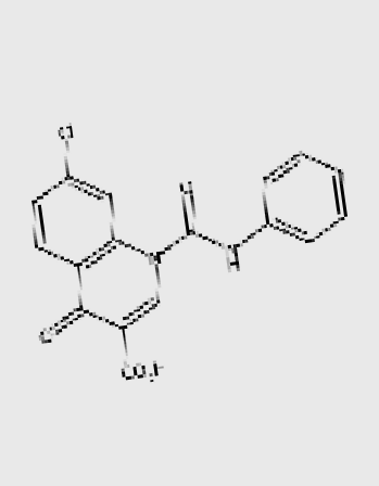 O=C(O)c1cn(C(=O)Nc2ccccc2)c2cc(Cl)ccc2c1=O